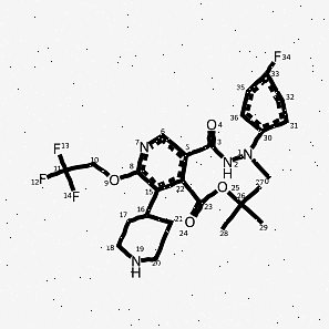 CN(NC(=O)c1cnc(OCC(F)(F)F)c(C2CCNCC2)c1C(=O)OC(C)(C)C)c1ccc(F)cc1